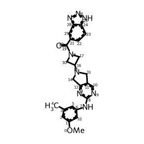 COc1cc(C)cc(Nc2ncc3c(n2)CN(C2CN(C(=O)c4ccc5[nH]nnc5c4)C2)C3)c1